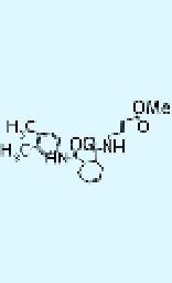 COC(=O)/C=C/CNC(=O)C1CC=CCC1C(=O)Nc1ccc(C)c(C)c1